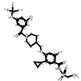 CCS(=O)(=O)NC(=O)c1cc(C2CC2)c(OCC2CCN(C(=O)c3cc(Cl)cc(OC(F)(F)F)c3)CC2)cc1F